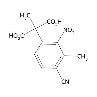 Cc1c(C#N)ccc(C(C)(C(=O)O)C(=O)O)c1[N+](=O)[O-]